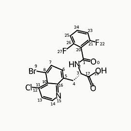 O=C(N[C@@H](Cc1ccc(Br)c2c(Cl)ccnc12)C(=O)O)c1c(F)cccc1F